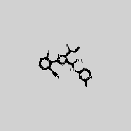 C=C/C(F)=c1/nc(-c2c(F)cccc2C#N)s/c1=C(/N)Nc1cc(C)ncn1